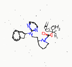 CC(C)(C)OC(=O)N1CCCCC1CCN(c1ncccn1)C1Cc2ccccc2C1